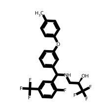 Cc1ccc(Oc2cccc(C(NC[C@@H](O)C(F)(F)F)c3cc(C(F)(F)F)ccc3F)c2)cc1